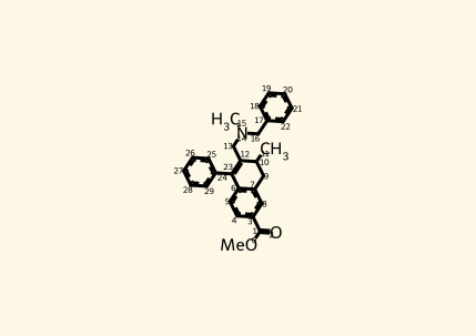 COC(=O)c1ccc2c(c1)CC(C)C(CN(C)Cc1ccccc1)=C2c1ccccc1